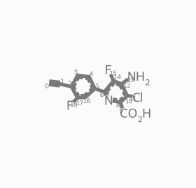 C#Cc1ccc(-c2nc(C(=O)O)c(Cl)c(N)c2F)cc1F